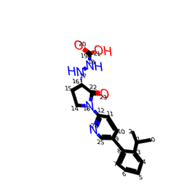 CC(C)c1ccccc1-c1ccc(N2CC[C@H](NNC(=O)O)C2=O)nc1